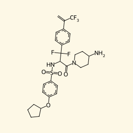 C=C(c1ccc(C(F)(F)C(NS(=O)(=O)c2ccc(OC3CCCC3)cc2)C(=O)N2CCC(N)CC2)cc1)C(F)(F)F